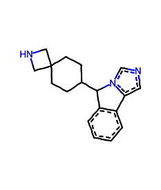 c1ccc2c(c1)-c1cncn1C2C1CCC2(CC1)CNC2